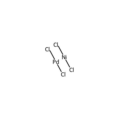 [Cl][Ni][Cl].[Cl][Pd][Cl]